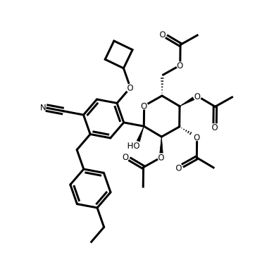 CCc1ccc(Cc2cc([C@]3(O)O[C@H](COC(C)=O)[C@@H](OC(C)=O)[C@H](OC(C)=O)[C@H]3OC(C)=O)c(OC3CCC3)cc2C#N)cc1